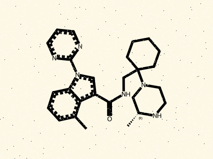 Cc1cccc2c1c(C(=O)NCC1(N3CCN[C@H](C)C3)CCCCC1)cn2-c1ncccn1